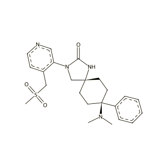 CN(C)[C@]1(c2ccccc2)CC[C@@]2(CC1)CN(c1cnccc1CS(C)(=O)=O)C(=O)N2